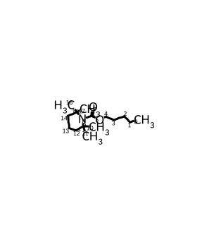 CCCCCOC(=O)N1C(C)(C)[CH]CCC1(C)C